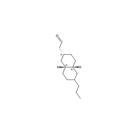 CCCC1CC[C@@H]2C[C@H](CC=O)CC[C@@H]2C1